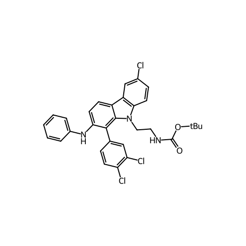 CC(C)(C)OC(=O)NCCn1c2ccc(Cl)cc2c2ccc(Nc3ccccc3)c(-c3ccc(Cl)c(Cl)c3)c21